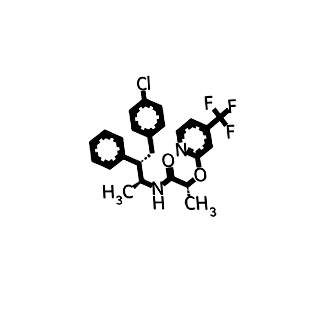 C[C@H](NC(=O)[C@@H](C)Oc1cc(C(F)(F)F)ccn1)[C@@H](Cc1ccc(Cl)cc1)c1ccccc1